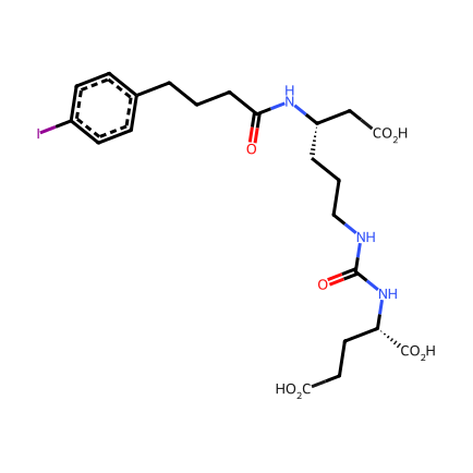 O=C(O)CC[C@H](NC(=O)NCCC[C@@H](CC(=O)O)NC(=O)CCCc1ccc(I)cc1)C(=O)O